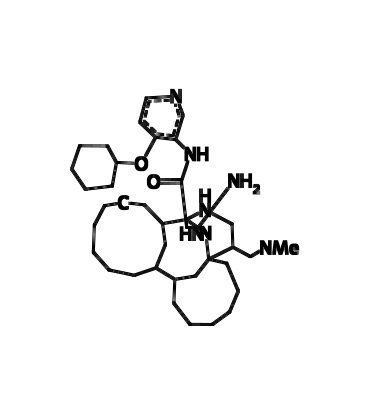 CNCC1CNC23C4CCCCCCCC(C4)C4CCCCCCC1(C4)N2NC(N)C3C(=O)Nc1cnccc1OC1CCCCC1